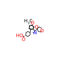 COc1ccc([C@]2(C#N)CC[C@@H](C(=O)O)CC2)c2c1OC1(CCOCC1)C2